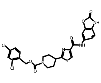 O=C(Nc1ccc2[nH]c(=O)oc2c1)c1csc(C2CCN(C(=O)OCc3ccc(Cl)cc3Cl)CC2)n1